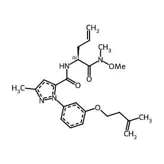 C=CC[C@H](NC(=O)c1cc(C)nn1-c1cccc(OCCC(=C)C)c1)C(=O)N(C)OC